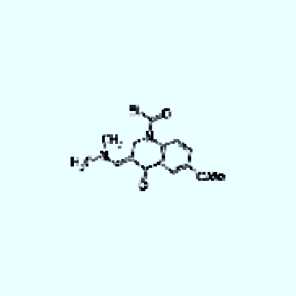 CCC(=O)N1CC(=CN(C)C)C(=O)c2cc(OC)ccc21